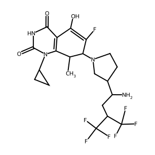 CC1c2c(c(=O)[nH]c(=O)n2C2CC2)C(O)=C(F)C1N1CCC(C(N)CC(C(F)(F)F)C(F)(F)F)C1